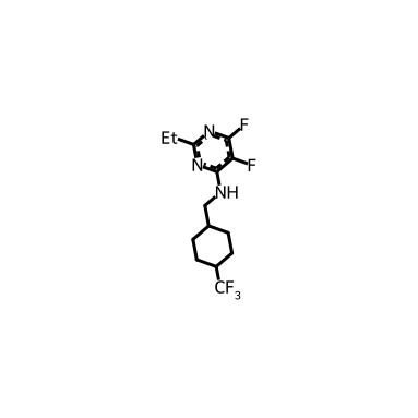 CCc1nc(F)c(F)c(NCC2CCC(C(F)(F)F)CC2)n1